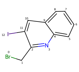 BrCc1nc2ccccc2cc1I